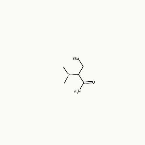 CP(C)C(CC(C)(C)C)C(N)=O